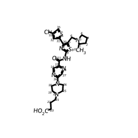 CC1CCCN1Cc1sc(NC(=O)c2cnc(N3CCN(CCCC(=O)O)CC3)cn2)nc1-c1cc(Cl)cs1